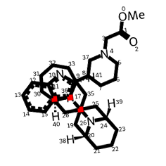 COC(=O)CN1CCCC(c2nc3ccccc3n2C2C[C@H]3CCC[C@@H](C2)N3C2C[C@H]3CCCC[C@@H](C2)C3)C1